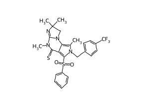 Cc1c2c(c(S(=O)(=O)c3ccccc3)n1Cc1ccc(C(F)(F)F)cc1)C(=S)N(C)C1=NC(C)(C)CN12